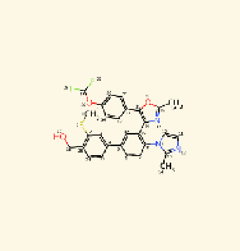 CSc1cc(-c2ccc(-n3ccnc3C)c(-c3nc(C)oc3-c3ccc(OC(F)F)cc3)c2)ccc1CO